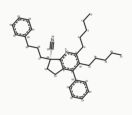 CCCCCc1nc2c(c(-c3ccccc3)c1CCCCC)CC[C@@]2(C#N)CCCc1ccccc1